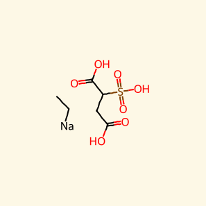 C[CH2][Na].O=C(O)CC(C(=O)O)S(=O)(=O)O